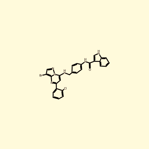 O=C(Nc1ccc(CNc2cc(-c3ccccc3Cl)nc3c(Br)cnn23)cc1)c1c[nH]c2ccccc12